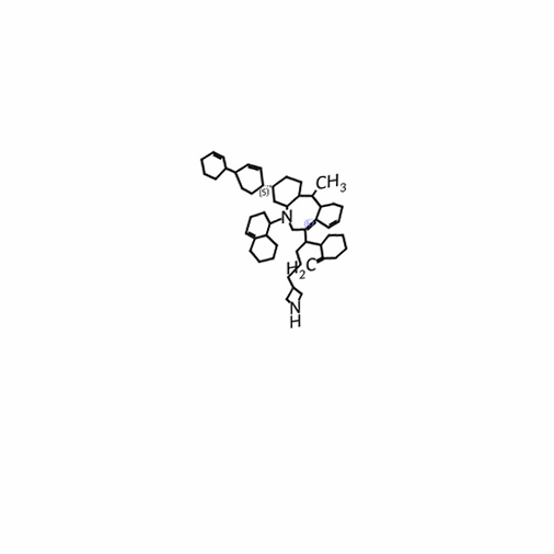 C=C1CCCCC1C(CCCC1CNC1)/C1=C2\C=CCCC2C(C)C2CCC([C@H]3C=CC(C4C=CCCC4)CC3)CC2N(C2CCC=C3CCCCC32)C1